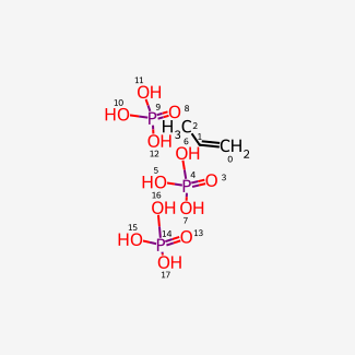 C=CC.O=P(O)(O)O.O=P(O)(O)O.O=P(O)(O)O